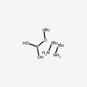 CC(C)(C)N.CC(C)(C)N.CCCCOB(O)O